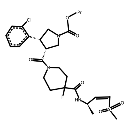 CC(C)OC(=O)N1C[C@H](C(=O)N2CCC(F)(C(=O)N[C@H](C)/C=C\S(C)(=O)=O)CC2)[C@H](c2ccccc2Cl)C1